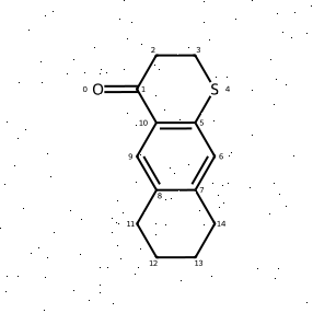 O=C1CCSc2cc3c(cc21)CCCC3